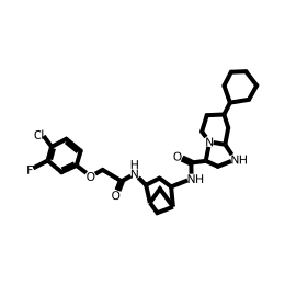 O=C(COc1ccc(Cl)c(F)c1)NC1CC(NC(=O)C2CNC3CC(C4CCCCC4)CCN32)C2CC1C2